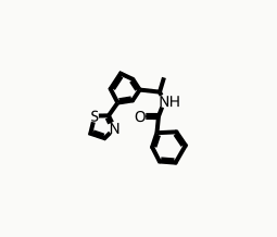 CC(NC(=O)c1ccccc1)c1cccc(-c2nccs2)c1